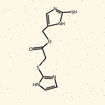 O=C(CSc1ncc[nH]1)OCc1cnc(S)[nH]1